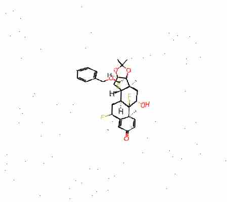 CC1(C)O[C@@H]2C[C@H]3[C@@H]4C[C@H](F)C5=CC(=O)C=C[C@]5(C)[C@@]4(F)[C@@H](O)C[C@]3(C)[C@]2(C(=S)OCc2ccccc2)O1